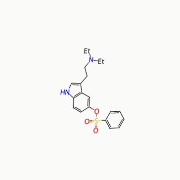 CCN(CC)CCc1c[nH]c2ccc(OS(=O)(=O)c3ccccc3)cc12